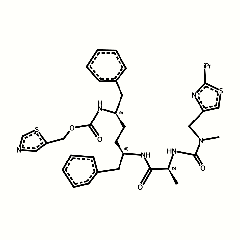 CC(C)c1nc(CN(C)C(=O)N[C@@H](C)C(=O)N[C@H](CC[C@H](Cc2ccccc2)NC(=O)OCc2cncs2)Cc2ccccc2)cs1